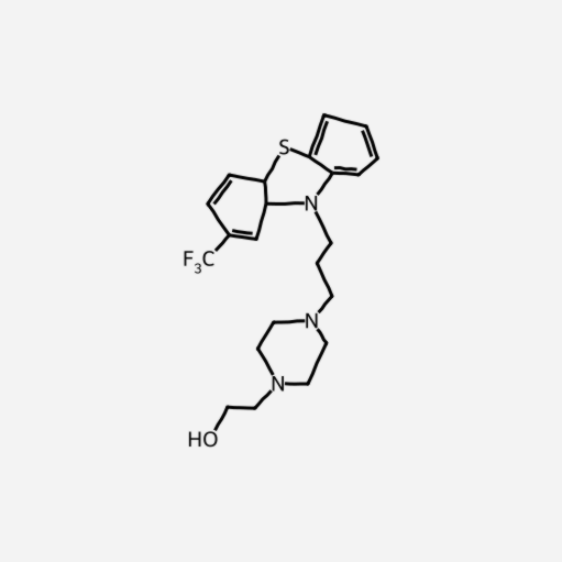 OCCN1CCN(CCCN2c3ccccc3SC3C=CC(C(F)(F)F)=CC32)CC1